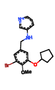 COc1c(Br)cc(CNc2cccnc2)cc1OC1CCCC1